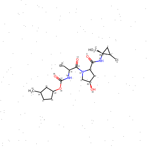 CCC1C[C@]1(NC(=O)C1C[C@@H](O)CN1C(=O)C(NC(=O)OC1CCC(C)C1)C(C)(C)C)C(=O)O